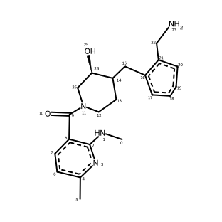 CNc1nc(C)ccc1C(=O)N1CCC(Cc2ccccc2CN)[C@H](O)C1